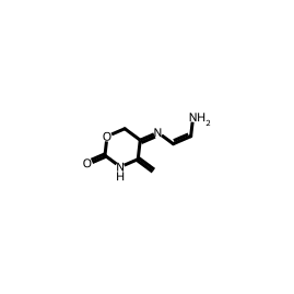 C=C1NC(=O)OC/C1=N/C=C\N